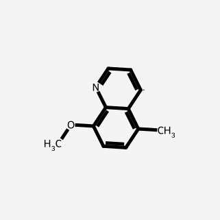 COc1ccc(C)c2[c]ccnc12